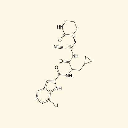 N#C[C@H](C[C@@H]1CCCNC1=O)NC(=O)C(CC1CC1)NC(=O)c1cc2cccc(Cl)c2[nH]1